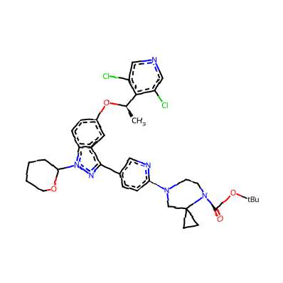 C[C@@H](Oc1ccc2c(c1)c(-c1ccc(N3CCN(C(=O)OC(C)(C)C)C4(CC4)C3)nc1)nn2C1CCCCO1)c1c(Cl)cncc1Cl